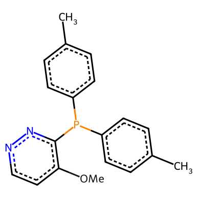 COc1ccnnc1P(c1ccc(C)cc1)c1ccc(C)cc1